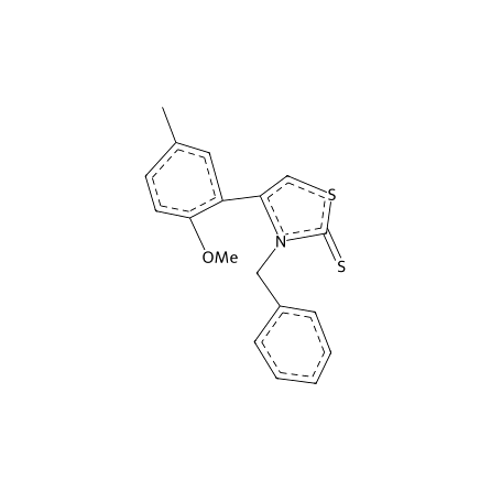 COc1ccc(C)cc1-c1csc(=S)n1Cc1ccccc1